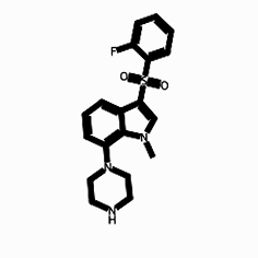 Cn1cc(S(=O)(=O)c2ccccc2F)c2cccc(N3CCNCC3)c21